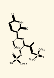 COC[C@@H](O[C@@H](COP(=O)(O)OC)/C(C)=C/P(=O)(OC)OC)n1ccc(=O)[nH]c1=O